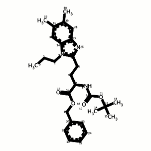 CCCn1c(CCC(NC(=O)OC(C)(C)C)C(=O)OCc2ccccc2)nc2cc(C)c(C)cc21